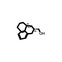 C[C@@]12CCCc3cccc(c31)C[C@H](CO)C2